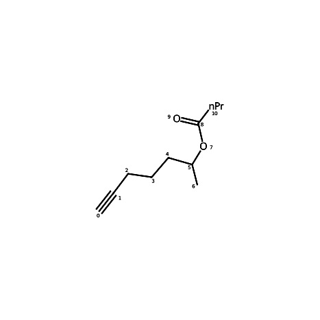 C#CCCCC(C)OC(=O)CCC